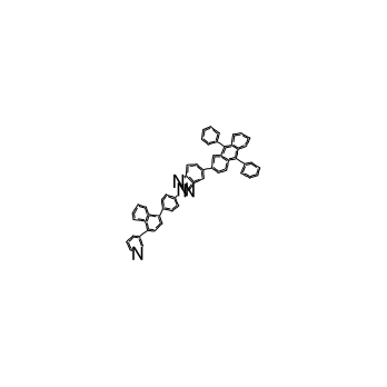 c1ccc(-c2c3ccccc3c(-c3ccccc3)c3cc(-c4ccc5nn(-c6ccc(-c7ccc(-c8cccnc8)c8ccccc78)cc6)nc5c4)ccc23)cc1